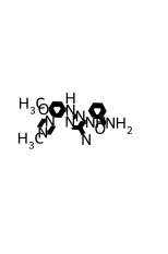 COc1ccc(Nc2ncc(C#N)c(Nc3ccccc3C(N)=O)n2)cc1N1CCN(C)CC1